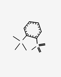 C[Si](C)(C)c1ccccc1S(=O)(=O)F